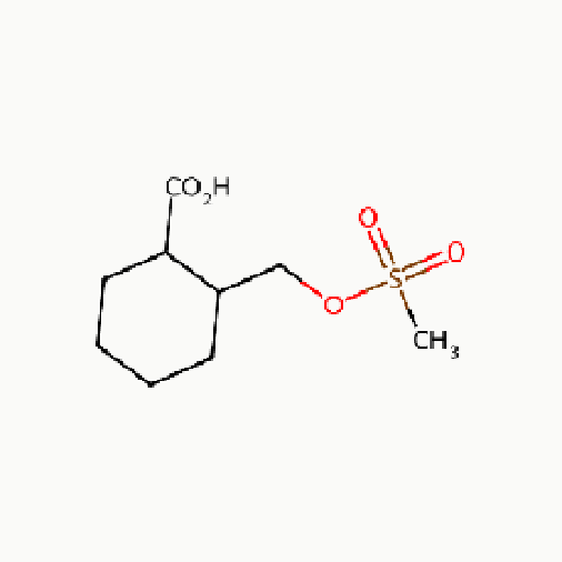 CS(=O)(=O)OCC1CCCCC1C(=O)O